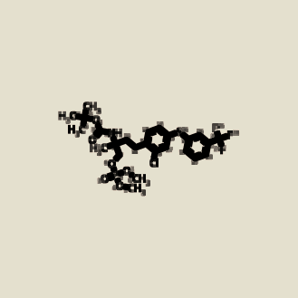 COP(=O)(OC)OCC(C)(CCc1ccc(Sc2cccc(C(F)(F)F)c2)cc1Cl)NC(=O)OC(C)(C)C